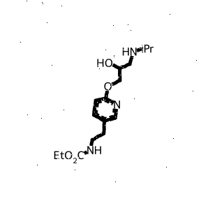 CCOC(=O)NCCc1ccc(OCC(O)CNC(C)C)nc1